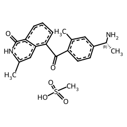 CS(=O)(=O)O.Cc1cc2c(C(=O)c3ccc([C@@H](C)N)cc3C)cccc2c(=O)[nH]1